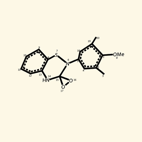 COc1c(C)cc(N2Sc3ccccc3NC23OO3)cc1C